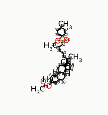 CC(=O)O[C@H]1CC[C@@]2(C)C(=CC[C@H]3[C@@H]4CC[C@H]([C@H](C)CCCC(C)CS(=O)(=O)c5ccc(C)cc5)[C@@]4(C)CC[C@@H]32)C1